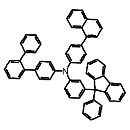 c1ccc(-c2ccccc2-c2ccc(N(c3ccc(-c4cccc5ccccc45)cc3)c3cccc(C4(c5ccccc5)c5ccccc5-c5ccccc54)c3)cc2)cc1